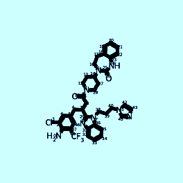 Nc1c(Cl)cc(CC(CC(=O)N2CCC(N3CCc4ccccc4NC3=O)CC2)c2nc3ccccc3n2CCCn2ccnc2)cc1C(F)(F)F